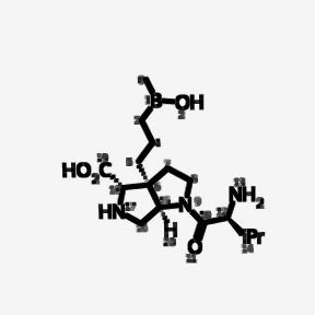 CB(O)CCC[C@]12CCN(C(=O)[C@@H](N)C(C)C)[C@H]1CN[C@@H]2C(=O)O